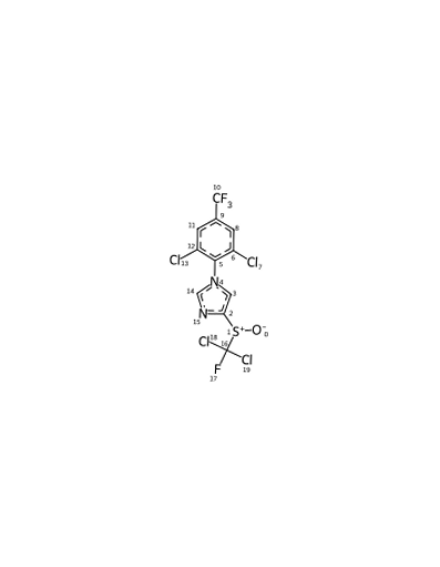 [O-][S+](c1cn(-c2c(Cl)cc(C(F)(F)F)cc2Cl)cn1)C(F)(Cl)Cl